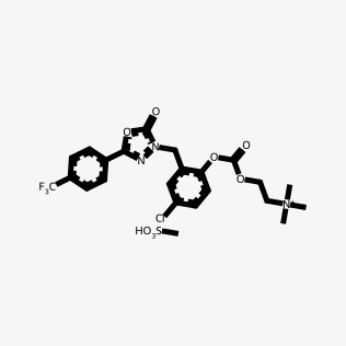 CS(=O)(=O)O.C[N+](C)(C)CCOC(=O)Oc1ccc(Cl)cc1Cn1nc(-c2ccc(C(F)(F)F)cc2)oc1=O